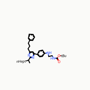 CCCCCCCC(C)c1nc(CCCc2ccccc2)cc(-c2ccc(NCCNC(=O)OC(C)(C)C)cc2)n1